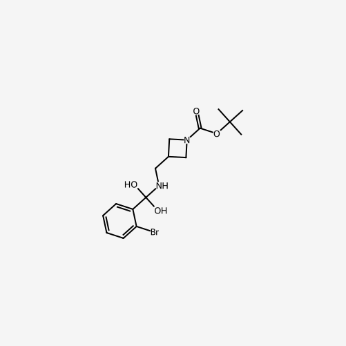 CC(C)(C)OC(=O)N1CC(CNC(O)(O)c2ccccc2Br)C1